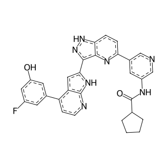 O=C(Nc1cncc(-c2ccc3[nH]nc(-c4cc5c(-c6cc(O)cc(F)c6)ccnc5[nH]4)c3n2)c1)C1CCCC1